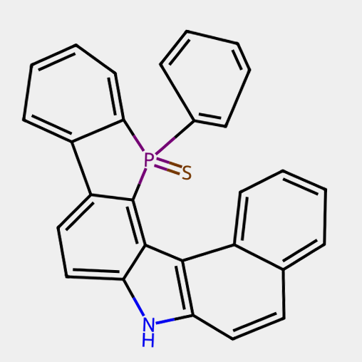 S=P1(c2ccccc2)c2ccccc2-c2ccc3[nH]c4ccc5ccccc5c4c3c21